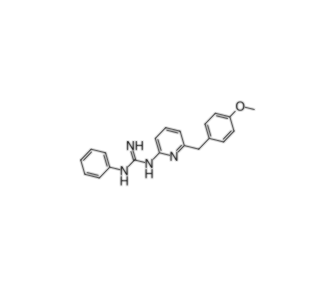 COc1ccc(Cc2cccc(NC(=N)Nc3ccccc3)n2)cc1